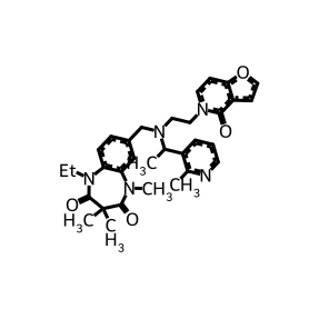 CCN1C(=O)C(C)(C)C(=O)N(C)c2cc(CN(CCn3ccc4occc4c3=O)C(C)c3cccnc3C)ccc21